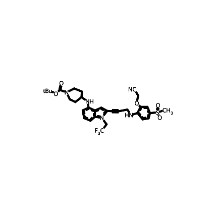 CC(C)(C)OC(=O)N1CCC(Nc2cccc3c2cc(C#CCNc2ccc(S(C)(=O)=O)cc2OCC#N)n3CC(F)(F)F)CC1